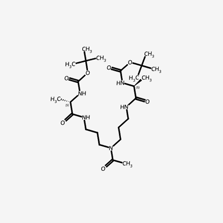 CC(=O)N(CCCNC(=O)[C@H](C)NC(=O)OC(C)(C)C)CCCNC(=O)[C@H](C)NC(=O)OC(C)(C)C